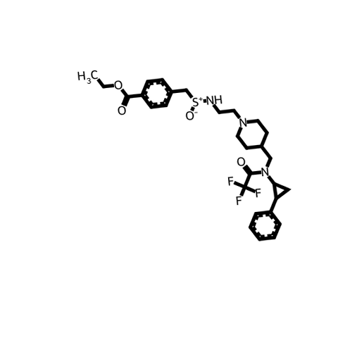 CCOC(=O)c1ccc(C[S+]([O-])NCCN2CCC(CN(C(=O)C(F)(F)F)C3CC3c3ccccc3)CC2)cc1